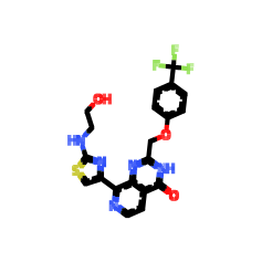 O=c1[nH]c(COc2ccc(C(F)(F)F)cc2)nc2c(-c3csc(NCCO)n3)nccc12